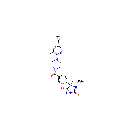 COCC1(c2ccc(C(=O)N3CCN(c4ncc(C5CC5)cc4C)CC3)cc2)NC(=O)NC1=O